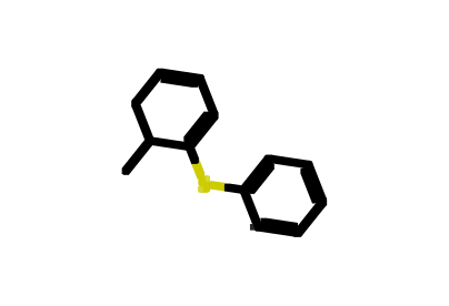 CC1CC=CC=C1Sc1[c]cccc1